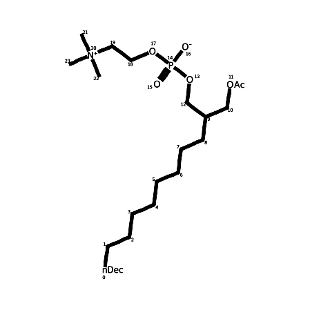 CCCCCCCCCCCCCCCCCCC(COC(C)=O)COP(=O)([O-])OCC[N+](C)(C)C